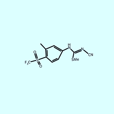 CS/C(=N\C#N)Nc1ccc(S(=O)(=O)C(F)(F)F)c(C)c1